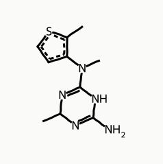 Cc1sccc1N(C)C1=NC(C)N=C(N)N1